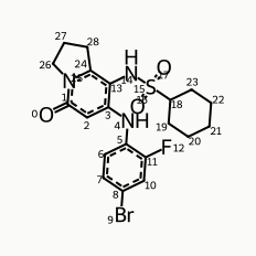 O=c1cc(Nc2ccc(Br)cc2F)c(NS(=O)(=O)C2CCCCC2)c2n1CCC2